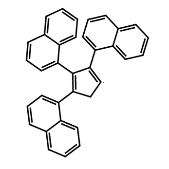 [C]1=C(c2cccc3ccccc23)C(c2cccc3ccccc23)=C(c2cccc3ccccc23)C1